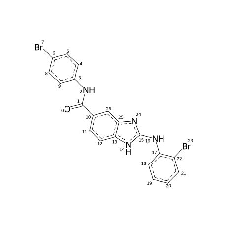 O=C(Nc1ccc(Br)cc1)c1ccc2[nH]c(Nc3ccccc3Br)nc2c1